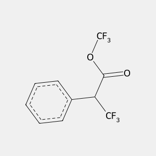 O=C(OC(F)(F)F)C(c1ccccc1)C(F)(F)F